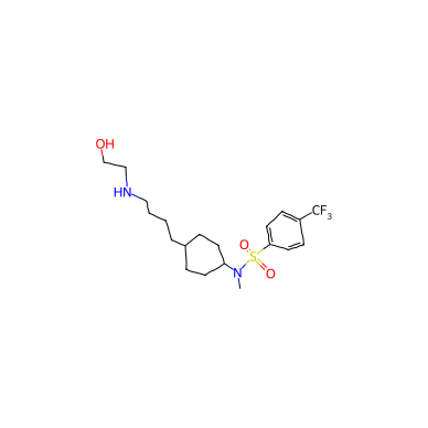 CN(C1CCC(CCCCNCCO)CC1)S(=O)(=O)c1ccc(C(F)(F)F)cc1